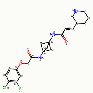 O=C(/C=C/C1CCCNC1)NC12CC(NC(=O)COc3ccc(Cl)c(F)c3)(C1)C2